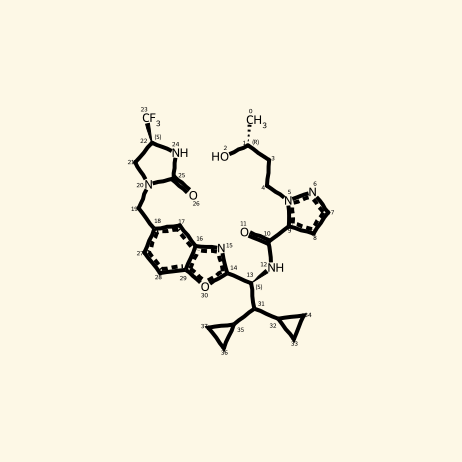 C[C@@H](O)CCn1nccc1C(=O)N[C@H](c1nc2cc(CN3C[C@@H](C(F)(F)F)NC3=O)ccc2o1)C(C1CC1)C1CC1